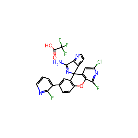 NC1=NC2(c3cc(-c4cccnc4F)ccc3Oc3c2cc(Cl)nc3F)c2cccnc21.O=C(O)C(F)(F)F